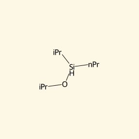 CCC[SiH](OC(C)C)C(C)C